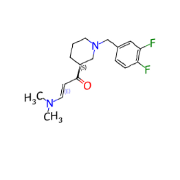 CN(C)/C=C/C(=O)[C@H]1CCCN(Cc2ccc(F)c(F)c2)C1